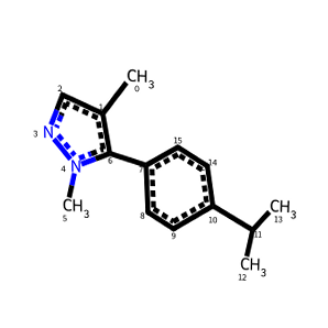 Cc1cnn(C)c1-c1ccc(C(C)C)cc1